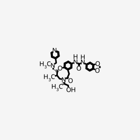 CC1CN([C@@H](C)CO)C(=O)Cc2cc(NC(=O)Nc3ccc4c(c3)OCO4)ccc2O[C@H]1CN(C)Cc1ccncc1